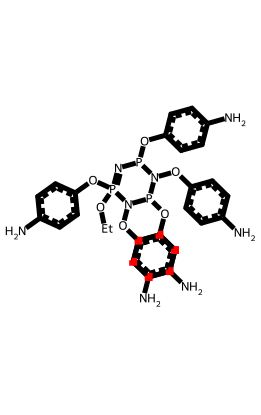 CCOP1(Oc2ccc(N)cc2)=NP(Oc2ccc(N)cc2)N(Oc2ccc(N)cc2)P(Oc2ccc(N)cc2)N1Oc1ccc(N)cc1